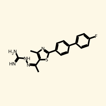 C/C(=N/NC(=N)N)c1sc(-c2ccc(-c3ccc(F)cc3)cc2)nc1C